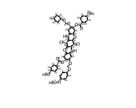 CCCCOc1ccc(OCOc2cc3[nH]c4c(Cl)c5oc6cc(OC(=O)c7ccc(CCCC)cc7)c(OCOc7ccc(C)cc7)cc6[nH]c5c(Cl)c4oc3cc2OC(=O)c2ccc(CCCC)cc2)cc1